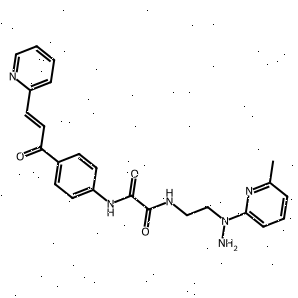 Cc1cccc(N(N)CCNC(=O)C(=O)Nc2ccc(C(=O)C=Cc3ccccn3)cc2)n1